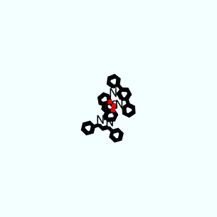 c1ccc(-c2cc(-c3ccccc3)nc(-c3cccc(-n4c5ccccc5c5ccc6c7ccccc7n(-c7cccc8c7sc7ccccc78)c6c54)c3)n2)cc1